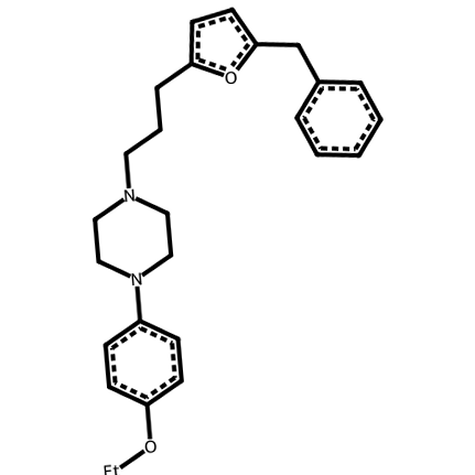 CCOc1ccc(N2CCN(CCCc3ccc(Cc4ccccc4)o3)CC2)cc1